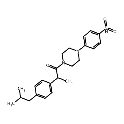 CC(C)Cc1ccc(C(C)C(=O)N2CCN(c3ccc([SH](=O)=O)cc3)CC2)cc1